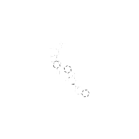 O=C(CN1Cc2ccc(-c3nc(NCC(O)CO)ncc3Cl)cc2C1=O)N1CCc2ccccc2C1